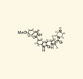 COc1ccc([C@@H](C)NC(=O)c2ccc3c(c2)C(=Cc2[nH]c(C)c(C(=O)N4CCN(C)CC4)c2C)C(=O)N3)cc1